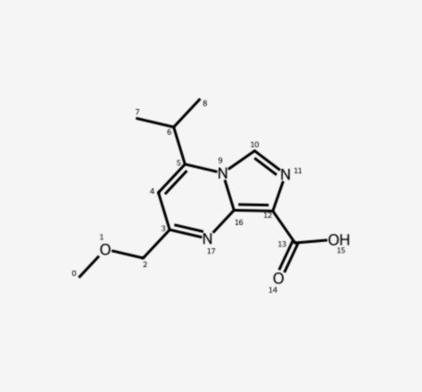 COCc1cc(C(C)C)n2cnc(C(=O)O)c2n1